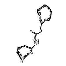 O=C(Cc1ccccn1)Nc1cccnn1